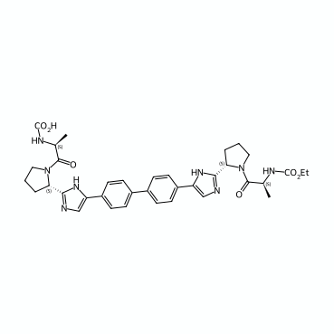 CCOC(=O)N[C@@H](C)C(=O)N1CCC[C@H]1c1ncc(-c2ccc(-c3ccc(-c4cnc([C@@H]5CCCN5C(=O)[C@H](C)NC(=O)O)[nH]4)cc3)cc2)[nH]1